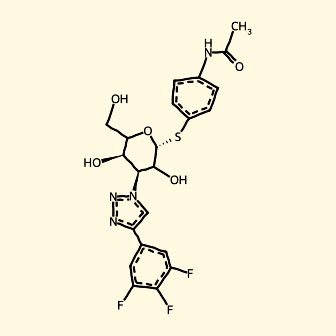 CC(=O)Nc1ccc(S[C@H]2OC(CO)[C@H](O)[C@H](n3cc(-c4cc(F)c(F)c(F)c4)nn3)C2O)cc1